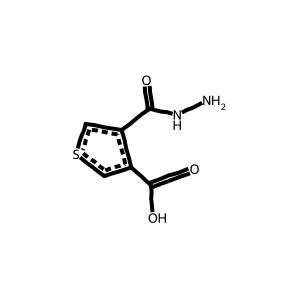 NNC(=O)c1cscc1C(=O)O